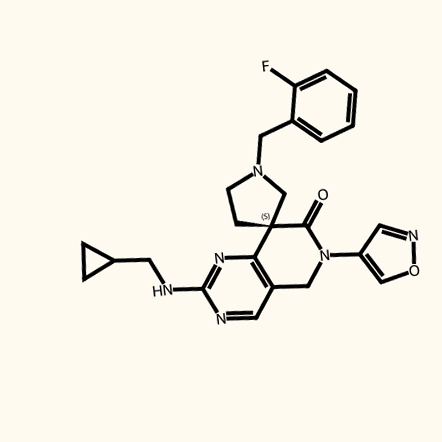 O=C1N(c2cnoc2)Cc2cnc(NCC3CC3)nc2[C@@]12CCN(Cc1ccccc1F)C2